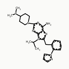 CC(C)n1c(Cc2ccccc2-n2cccn2)nc2c(N)nc(N3CCC(N(C)C)CC3)nc21